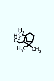 [CH2]CC1C2(C)CCC(C2)C1(C)C